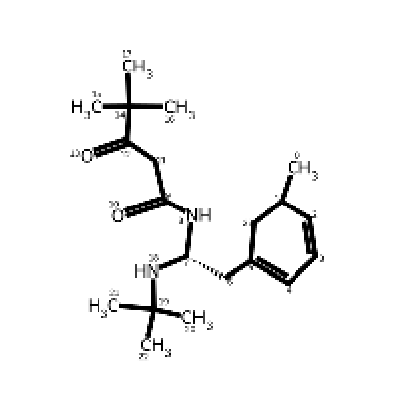 CC1C=CC=C(C[C@@H](NC(=O)CC(=O)C(C)(C)C)NC(C)(C)C)C1